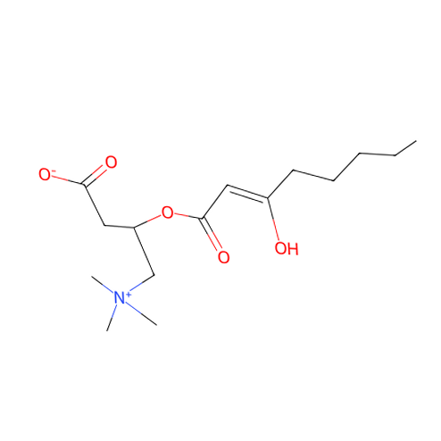 CCCCCC(O)=CC(=O)OC(CC(=O)[O-])C[N+](C)(C)C